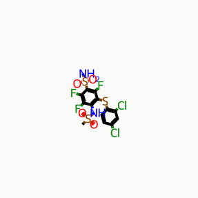 CS(=O)(=O)Nc1c(F)c(F)c(S(N)(=O)=O)c(F)c1Sc1ccc(Cl)cc1Cl